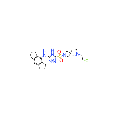 O=S(=O)(c1nnc(Nc2c3c(cc4c2CCC4)CCC3)[nH]1)N1CC2(CCN(CCF)C2)C1